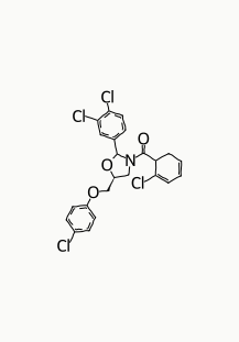 O=C(C1CC=CC=C1Cl)N1C[C@@H](COc2ccc(Cl)cc2)OC1c1ccc(Cl)c(Cl)c1